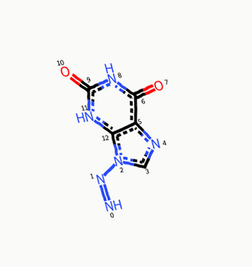 N=Nn1cnc2c(=O)[nH]c(=O)[nH]c21